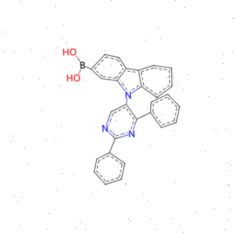 OB(O)c1ccc2c3ccccc3n(-c3cnc(-c4ccccc4)nc3-c3ccccc3)c2c1